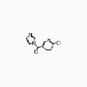 O=C(c1ccc(Cl)nc1)n1ccnc1